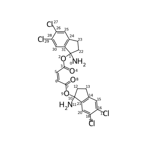 NC1(OC(=O)/C=C\C(=O)OC2(N)CCc3cc(Cl)c(Cl)cc32)CCc2cc(Cl)c(Cl)cc21